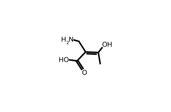 C/C(O)=C(/CN)C(=O)O